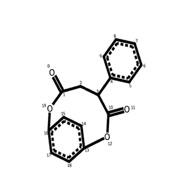 O=C1CC(c2ccccc2)C(=O)Oc2ccc(cc2)O1